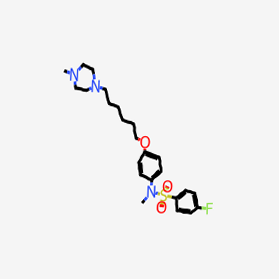 CN1CCN(CCCCCCOc2ccc(N(C)S(=O)(=O)c3ccc(F)cc3)cc2)CC1